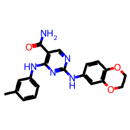 Cc1cccc(Nc2nc(Nc3ccc4c(c3)OCCO4)ncc2C(N)=O)c1